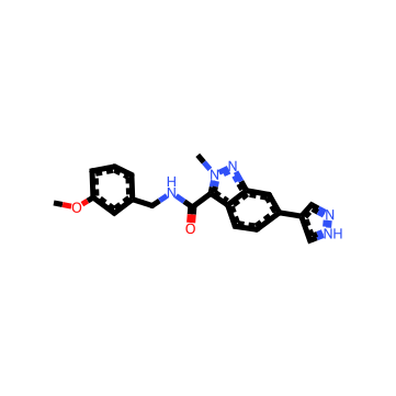 COc1cccc(CNC(=O)c2c3ccc(-c4cn[nH]c4)cc3nn2C)c1